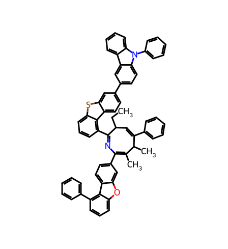 CCC1/C=C(/c2ccccc2)C(C)/C(C)=C(c2ccc3c(c2)oc2cccc(-c4ccccc4)c23)\N=C/1c1cccc2sc3cc(-c4ccc5c(c4)c4ccccc4n5-c4ccccc4)ccc3c12